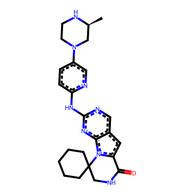 C[C@H]1CN(c2ccc(Nc3ncc4cc5n(c4n3)C3(CCCCC3)CNC5=O)nc2)CCN1